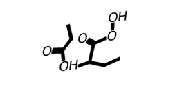 CCC(=O)O.CCC(C)C(=O)OO